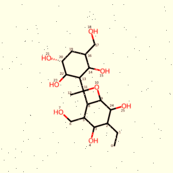 CCC1C(O)C(CO)C2C(OC2(C)C2C(O)C(CO)C[C@@H](O)C2O)C1O